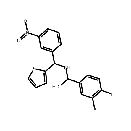 CC(NC(c1cccc([N+](=O)[O-])c1)c1cccs1)c1ccc(F)c(F)c1